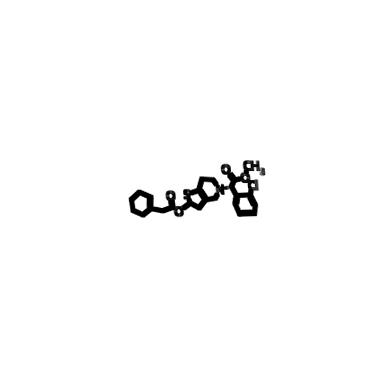 COC(=O)[C@H](c1ccccc1Cl)N1CCC2=C(CC(OC(=O)CC3=CCCCC3)S2)C1